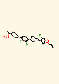 C=CCOc1ccc(/C=C/C2CCC(c3ccc(C4CCC(C(C)O)CC4)c(F)c3F)CC2)c(F)c1